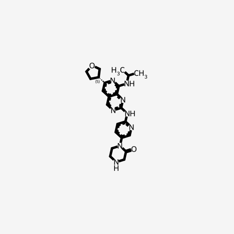 CC(C)Nc1nc([C@@H]2CCOC2)cc2cnc(Nc3ccc(N4CCNCC4=O)cn3)nc12